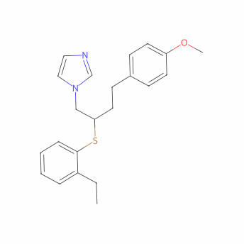 CCc1ccccc1SC(CCc1ccc(OC)cc1)Cn1ccnc1